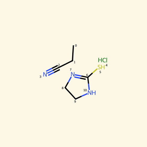 CCC#N.Cl.SC1=NCCN1